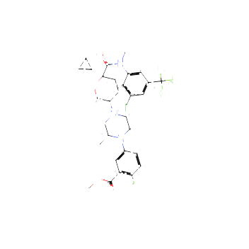 COC(=O)c1cc(N2CCN([C@@H]3CC[C@@](C(=O)N(C)c4cc(Cl)cc(C(F)(F)F)c4)(C4CC4)OC3)C[C@@H]2C)ccc1F